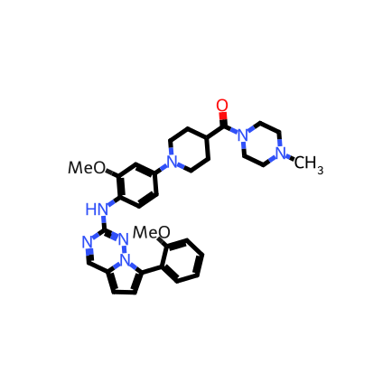 COc1cc(N2CCC(C(=O)N3CCN(C)CC3)CC2)ccc1Nc1ncc2ccc(-c3ccccc3OC)n2n1